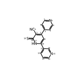 N#Cc1c(-c2ccncc2)cc(-c2cccnc2)[nH]c1=S